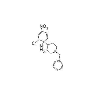 NC1(C2CCN(Cc3ccccc3)CC2)C=CC([N+](=O)[O-])=CC1Cl